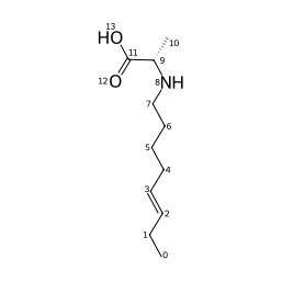 CCC=CCCCCN[C@@H](C)C(=O)O